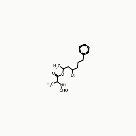 CCC(CCCc1ccccc1)CC(C)OC(=O)C(C)NC=O